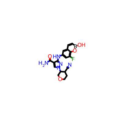 N#CC1CCOCC1n1cc(C(N)=O)c(Nc2cc(F)c3c(c2)C=CB(O)O3)n1